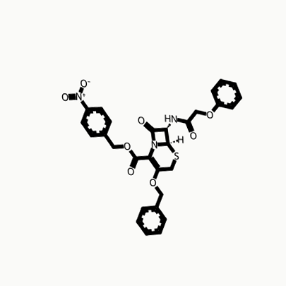 O=C(COc1ccccc1)N[C@H]1C(=O)N2C(C(=O)OCc3ccc([N+](=O)[O-])cc3)=C(OCc3ccccc3)CS[C@H]12